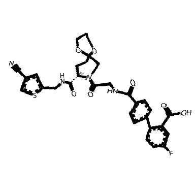 N#Cc1csc(CNC(=O)[C@@H]2CC3(CN2C(=O)CNC(=O)c2ccc(-c4ccc(F)cc4C(=O)O)cc2)OCCO3)c1